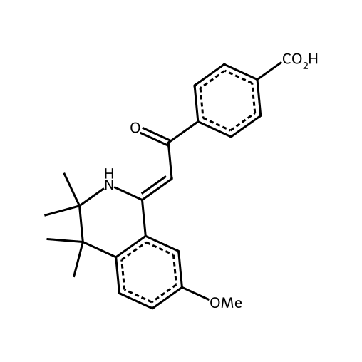 COc1ccc2c(c1)/C(=C/C(=O)c1ccc(C(=O)O)cc1)NC(C)(C)C2(C)C